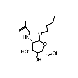 C=C(C)CN[C@@H]1[C@@H](OCCCC)O[C@H](CO)[C@@H](O)[C@@H]1O